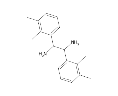 Cc1cccc(C(N)C(N)c2cccc(C)c2C)c1C